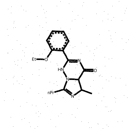 CCCC1=NC(C)C2C(=O)N=C(c3ccccc3OCC)NN12